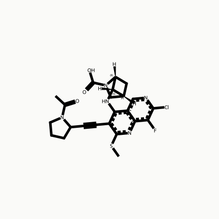 CSc1nc2c(F)c(Cl)ncc2c(N[C@H]2[C@@H]3C[C@H]2N(C(=O)O)C3)c1C#CC1CCCN1C(C)=O